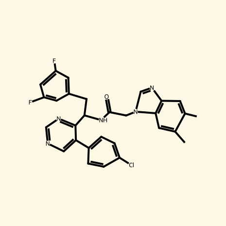 Cc1cc2ncn(CC(=O)NC(Cc3cc(F)cc(F)c3)c3ncncc3-c3ccc(Cl)cc3)c2cc1C